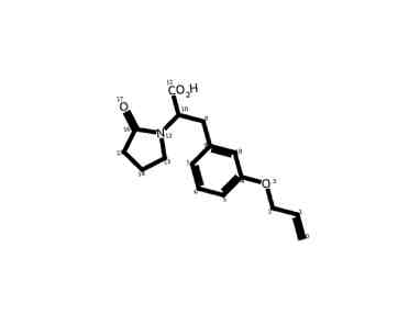 C=CCOc1cccc(CC(C(=O)O)N2CCCC2=O)c1